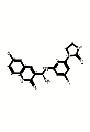 C[C@H](Nc1cc(F)cc(N2CCOC2=O)n1)c1cc2cc(Cl)ccc2[nH]c1=O